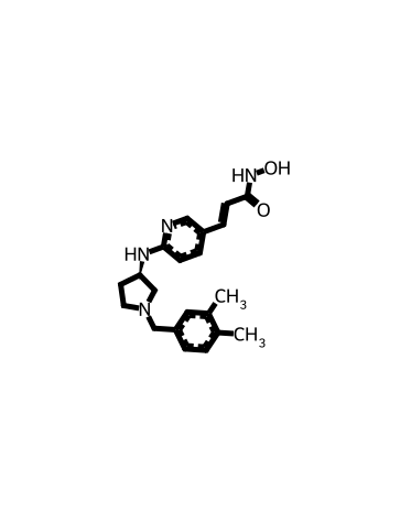 Cc1ccc(CN2CC[C@@H](Nc3ccc(/C=C/C(=O)NO)cn3)C2)cc1C